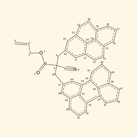 C=CCOC(=O)C(C#N)(Cc1cc2ccc3cccc4ccc(c1)c2c34)Cc1cc2cccc3c4cccc5cccc(c(c1)c23)c54